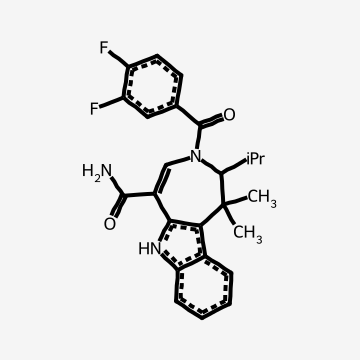 CC(C)C1N(C(=O)c2ccc(F)c(F)c2)C=C(C(N)=O)c2[nH]c3ccccc3c2C1(C)C